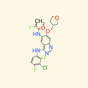 C=C(F)C(=O)Nc1cc2c(Nc3ccc(F)c(Cl)c3F)ncnc2cc1OCC1CCOC1